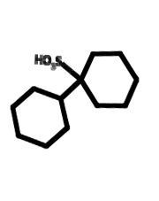 O=S(=O)(O)C1(C2CCCCC2)CCCCC1